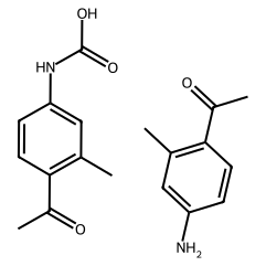 CC(=O)c1ccc(N)cc1C.CC(=O)c1ccc(NC(=O)O)cc1C